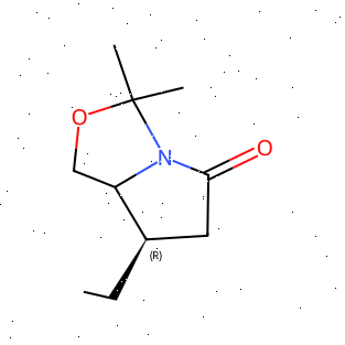 CC[C@@H]1CC(=O)N2C1COC2(C)C